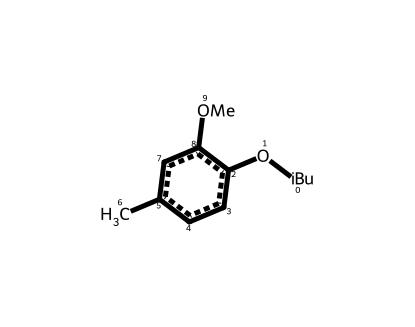 CCC(C)Oc1ccc(C)cc1OC